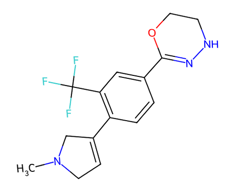 CN1CC=C(c2ccc(C3=NNCCO3)cc2C(F)(F)F)C1